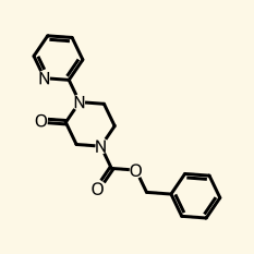 O=C(OCc1ccccc1)N1CCN(c2ccccn2)C(=O)C1